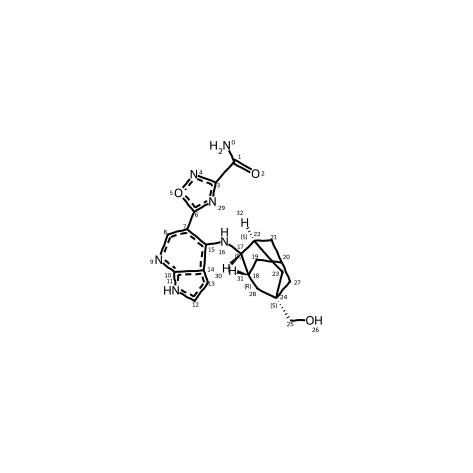 NC(=O)c1noc(-c2cnc3[nH]ccc3c2N[C@H]2[C@@H]3CC4C[C@H]2C[C@@](CO)(C4)C3)n1